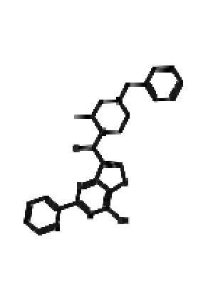 CC1CN(Cc2ccccc2)CCN1C(=O)c1csc2c(O)nc(-c3ccccn3)nc12